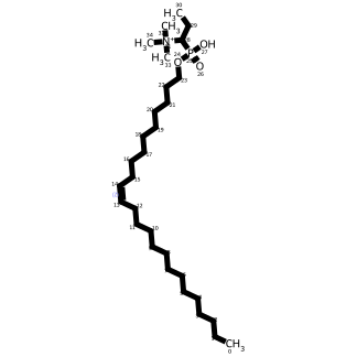 CCCCCCCCCCCCC/C=C\CCCCCCCCCOP(=O)(O)C(CC)[N+](C)(C)C